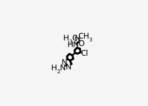 CN(C)C(=O)Nc1cc(Cl)cc(-c2ccc3nc(N)ncc3c2)c1